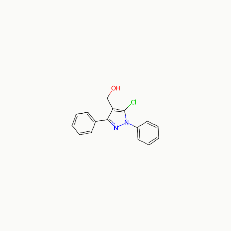 OCc1c(-c2ccccc2)nn(-c2ccccc2)c1Cl